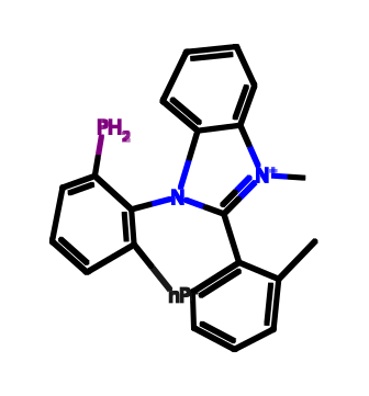 CCCc1cccc(P)c1-n1c(-c2ccccc2C)[n+](C)c2ccccc21